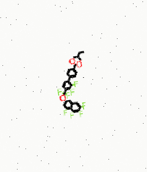 CCC1COC(c2ccc(-c3ccc(C(F)(F)Oc4cc(F)c5c(F)c(F)c(F)cc5c4)c(F)c3F)cc2)OC1